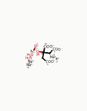 CC(=O)[O-].O.O.O=C([O-])CC(O)(CC(=O)[O-])C(=O)[O-].[K+].[Na+].[Na+].[Na+]